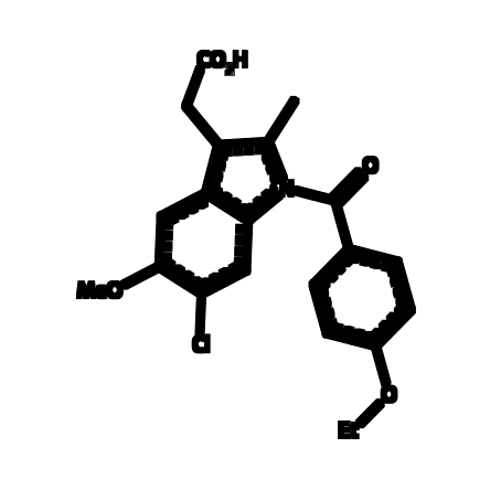 CCOc1ccc(C(=O)n2c(C)c(CC(=O)O)c3cc(OC)c(Cl)cc32)cc1